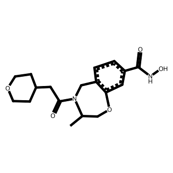 CC1COc2cc(C(=O)NO)ccc2CN1C(=O)CC1CCOCC1